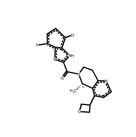 C[C@H]1c2c(C3COC3)ccnc2CCN1C(=O)c1nc2c(F)ccc(Cl)c2[nH]1